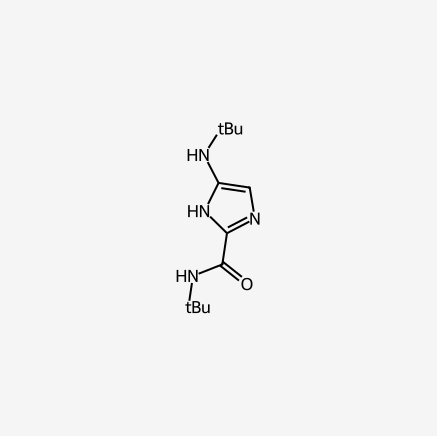 CC(C)(C)NC(=O)c1ncc(NC(C)(C)C)[nH]1